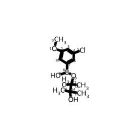 COc1cc(Cl)cc(B(O)OC(C)(C)C(C)(C)O)c1